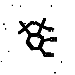 COc1ccc(C(C)(C)C(C)C)c(C(C)(C)C(C)C)c1O